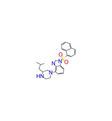 CC(C)CC1CN(c2cccc3c2ncn3S(=O)(=O)c2cccc3ccccc23)CCN1